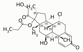 CCC(=O)OC1(C(=O)CO)[C@H](C)C[C@H]2[C@H]3[C@H]([C@@H](O)C[C@@]21C)[C@@]1(C)C=CC(=O)C=C1C[C@H]3Cl